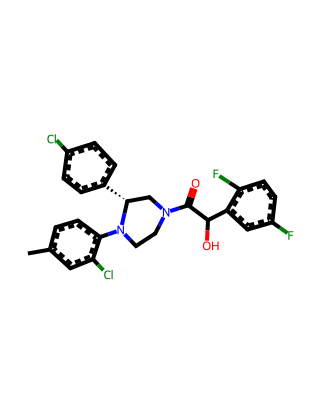 Cc1ccc(N2CCN(C(=O)C(O)c3cc(F)ccc3F)C[C@H]2c2ccc(Cl)cc2)c(Cl)c1